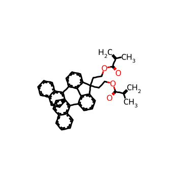 C=C(C)C(=O)OCCC1(CCOC(=O)C(=C)C)c2cccc(-c3cccc4ccccc34)c2-c2c(-c3cccc4ccccc34)cccc21